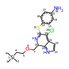 C[Si](C)(C)CCOCC1N=C(Sc2ccc(N)cc2)C(Cl)=C2C=CN=C21